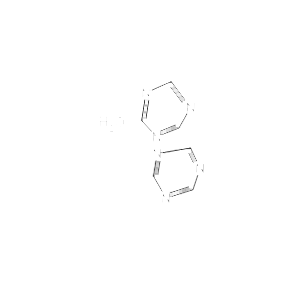 O.c1ncncn1.c1ncncn1